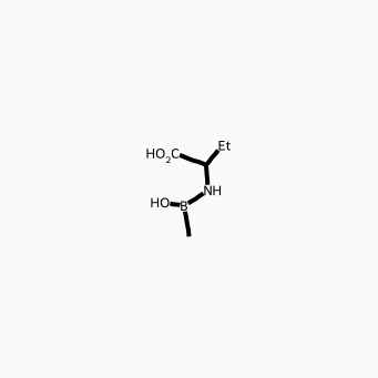 CCC(NB(C)O)C(=O)O